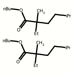 CCCCOC(=O)C(C)(CC)CCC(C)C.CCCCOC(=O)C(C)(CC)CCC(C)C